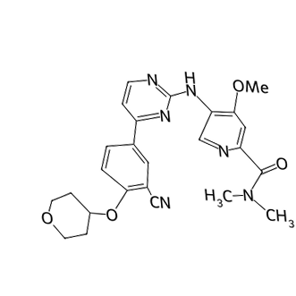 COc1cc(C(=O)N(C)C)ncc1Nc1nccc(-c2ccc(OC3CCOCC3)c(C#N)c2)n1